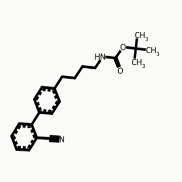 CC(C)(C)OC(=O)NCCCCc1ccc(-c2ccccc2C#N)cc1